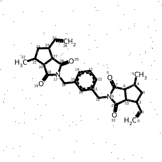 C=CC1CC(C)C2C(=O)N(Cc3cccc(CN4C(=O)C5C(C)CC(C=C)C5C4=O)c3)C(=O)C12